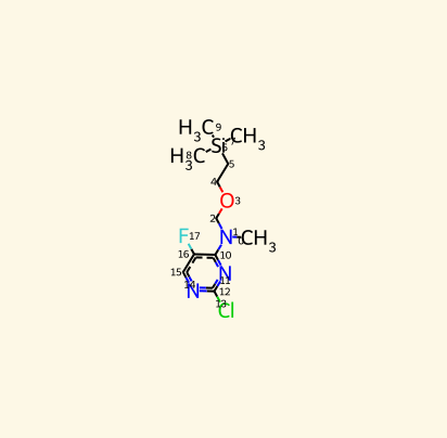 CN(COCC[Si](C)(C)C)c1nc(Cl)ncc1F